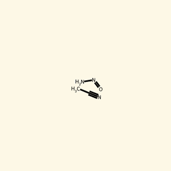 CC#N.NN=O